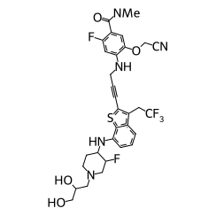 CNC(=O)c1cc(OCC#N)c(NCC#Cc2sc3c(NC4CCN(CC(O)CO)CC4F)cccc3c2CC(F)(F)F)cc1F